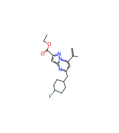 C=C(C)c1cc(CC2CCC(F)CC2)nc2cc(C(=O)OCC)nn12